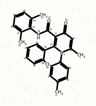 Cc1ccc(-n2c(C)cc(=O)c(C(=O)Nc3c(C)cccc3C)c2-c2ccccc2Cl)cc1